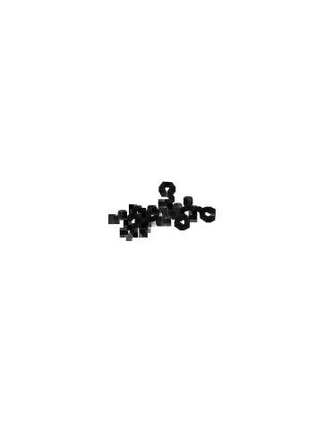 CCOc1nc(N)nc2c1ncn2[C@@H]1O[C@H](COP(=O)(NCc2ccccc2)OC(C(=O)NCc2ccccc2)c2ccccc2)[C@@H](O)[C@@]1(C)N=[N+]=[N-]